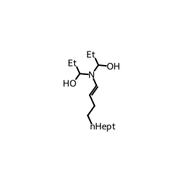 CCCCCCCCCC=CN(C(O)CC)C(O)CC